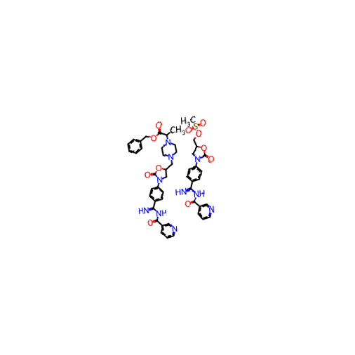 CC(C(=O)OCc1ccccc1)N1CCN(CC2CN(c3ccc(C(=N)NC(=O)c4cccnc4)cc3)C(=O)O2)CC1.CS(=O)(=O)OCC1CN(c2ccc(C(=N)NC(=O)c3cccnc3)cc2)C(=O)O1